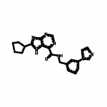 O=C(NCc1cccc(-n2ccnc2)c1)c1ncnc2nc(C3CCCC3)[nH]c12